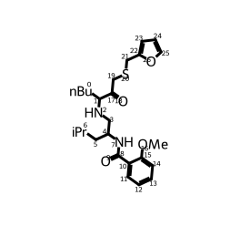 CCCCC(NCC(CC(C)C)NC(=O)c1ccccc1OC)C(=O)CSCc1ccco1